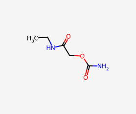 CCNC(=O)COC(N)=O